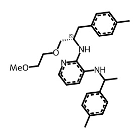 COCCOC[C@H](Cc1ccc(C)cc1)Nc1ncccc1NC(C)c1ccc(C)cc1